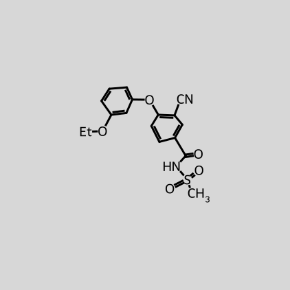 CCOc1cccc(Oc2ccc(C(=O)NS(C)(=O)=O)cc2C#N)c1